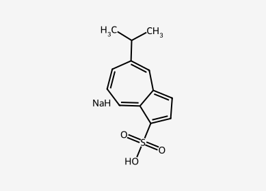 CC(C)c1cccc2c(S(=O)(=O)O)ccc-2c1.[NaH]